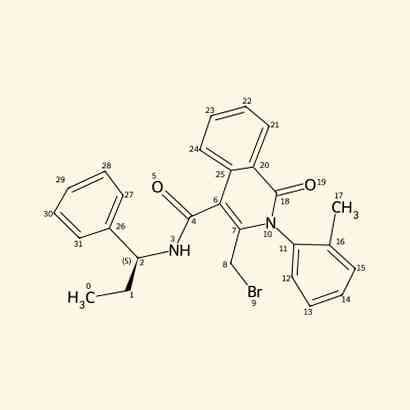 CC[C@H](NC(=O)c1c(CBr)n(-c2ccccc2C)c(=O)c2ccccc12)c1ccccc1